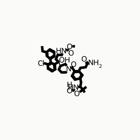 CCc1cccc(-c2c(Cl)cccc2C(O)(CCCNC(=O)OC)[C@@H]2CCCN(C(=O)c3ccc(CC(NC(=O)O)C(C)(C)C)cc3CCC(N)=O)C2)c1